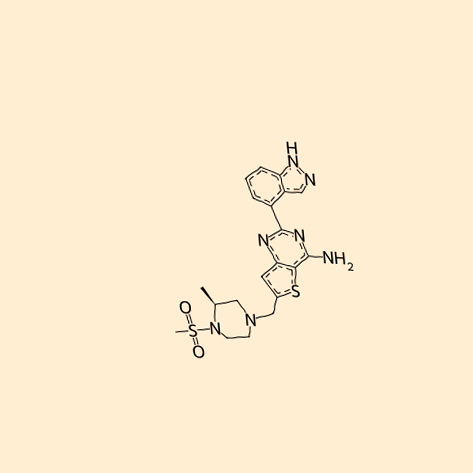 C[C@H]1CN(Cc2cc3nc(-c4cccc5[nH]ncc45)nc(N)c3s2)CCN1S(C)(=O)=O